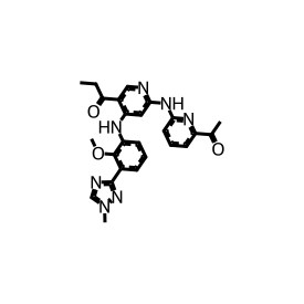 CCC(=O)c1cnc(Nc2cccc(C(C)=O)n2)cc1Nc1cccc(-c2ncn(C)n2)c1OC